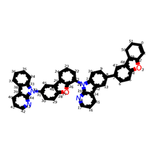 C1=Cc2oc3ccc(-c4ccc5c(c4)c4cccnc4n5-c4cccc5c4oc4ccc(-n6c7ccccc7c7cccnc76)cc45)cc3c2CC1